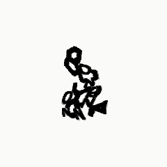 Cc1oc2ncnc(NC3(C)CC3)c2c1C(=O)N1CCOC2(CCc3ccccc32)C1